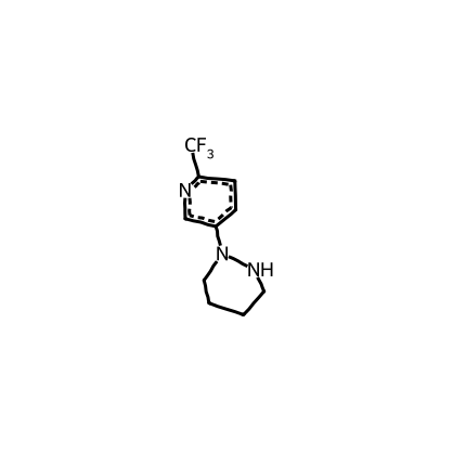 FC(F)(F)c1ccc(N2CCCCN2)cn1